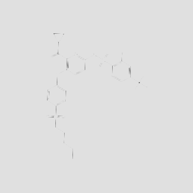 CCCCCS(=O)(=O)c1ccc(Sc2ccc(NS(=O)(=O)c3ccc(C(F)(F)F)cc3Cl)nc2C(=O)C2CC2)cc1